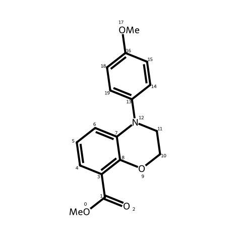 COC(=O)c1cccc2c1OCCN2c1ccc(OC)cc1